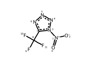 O=[N+]([O-])n1nnnc1C(F)(F)F